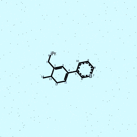 CC(C)CC1=CC(c2cbccc2)=CCC1C